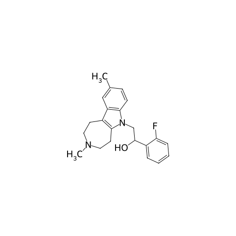 Cc1ccc2c(c1)c1c(n2CC(O)c2ccccc2F)CCN(C)CC1